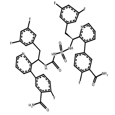 NC(=O)c1cc(-c2cccnc2C(Cc2cc(F)cc(F)c2)NC(=O)NS(=O)(=O)N[C@@H](Cc2cc(F)cc(F)c2)c2ncccc2-c2ccc(F)c(C(N)=O)c2)ccc1F